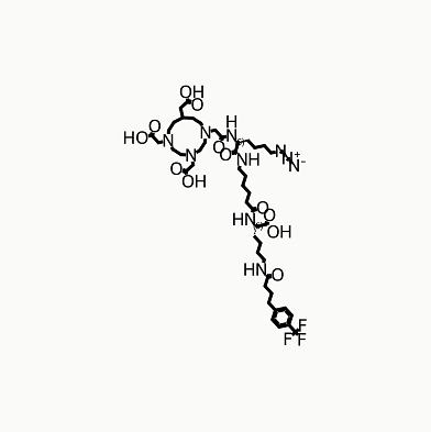 [N-]=[N+]=NCCCC[C@H](NC(=O)CN1CCC(CC(=O)O)CCN(CC(=O)O)CCN(CC(=O)O)CC1)C(=O)NCCCCCC(=O)N[C@@H](CCCCNC(=O)CCCc1ccc(C(F)(F)F)cc1)C(=O)O